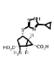 N[C@@]1(C(=O)O)C[C@H](Sc2n[nH]c(C3CC3)n2)[C@H]2[C@H](C(=O)O)[C@H]21